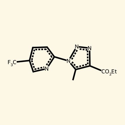 CCOC(=O)c1nnn(-c2ccc(C(F)(F)F)cn2)c1C